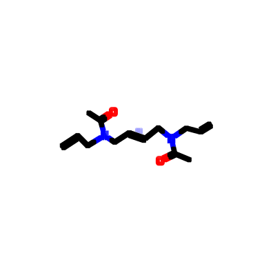 C=CCN(C/C=C/CN(CC=C)C(C)=O)C(C)=O